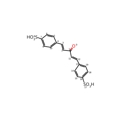 O=C(/C=C/c1ccc(S(=O)(=O)O)cc1)/C=C/c1ccc(S(=O)(=O)O)cc1